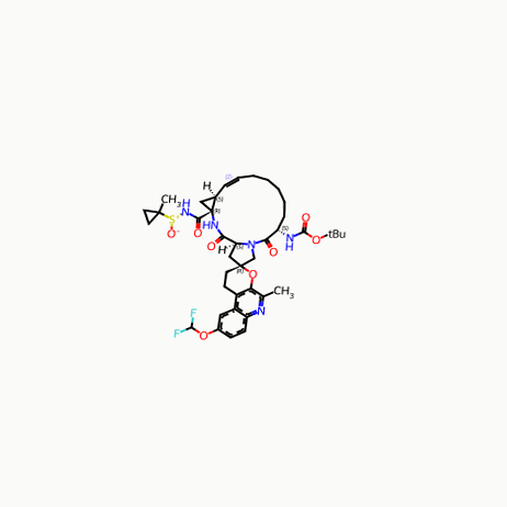 Cc1nc2ccc(OC(F)F)cc2c2c1O[C@]1(CC2)C[C@H]2C(=O)N[C@]3(C(=O)N[S+]([O-])C4(C)CC4)C[C@H]3/C=C\CCCCC[C@H](NC(=O)OC(C)(C)C)C(=O)N2C1